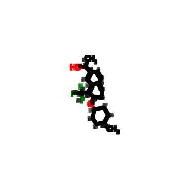 CC(O)c1ccc2ccc(O[C@H]3CC[C@@H](C)CC3)c(C(F)(F)F)c2c1